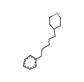 [CH]1CNCCC1CCCCCc1ccccc1